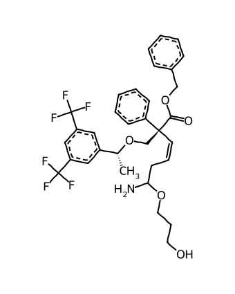 C[C@@H](OC[C@](/C=C\CC(N)OCCCO)(C(=O)OCc1ccccc1)c1ccccc1)c1cc(C(F)(F)F)cc(C(F)(F)F)c1